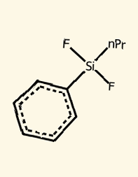 CCC[Si](F)(F)c1ccccc1